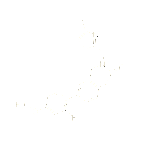 Cc1csc(CN2Cc3cc(-c4ccc(OC(F)(F)F)cc4F)ccc3OC2=O)n1